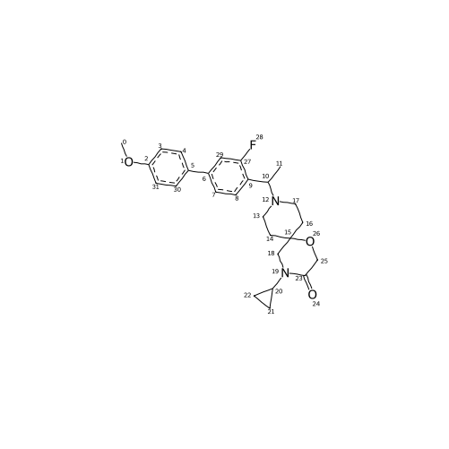 COc1ccc(-c2ccc(C(C)N3CCC4(CC3)CN(C3CC3)C(=O)CO4)c(F)c2)cc1